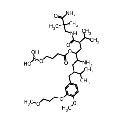 COCCCOc1cc(CC(CC(N)C(CC(C(=O)NCC(C)(C)C(N)=O)C(C)C)OC(=O)CCCON(O)O)C(C)C)ccc1OC